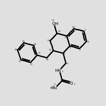 CCCCC(=O)NCC1c2ccccc2C(O)CC1Cc1ccccc1